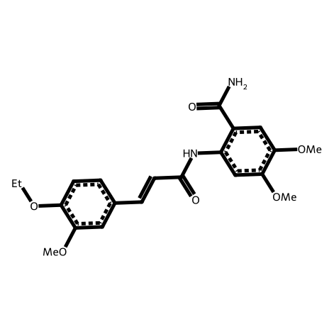 CCOc1ccc(/C=C/C(=O)Nc2cc(OC)c(OC)cc2C(N)=O)cc1OC